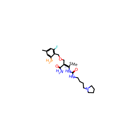 CS/C(NC(=O)NCCCCN1CCCC1)=C(\COCc1c(F)cc(C)cc1P)C(N)=O